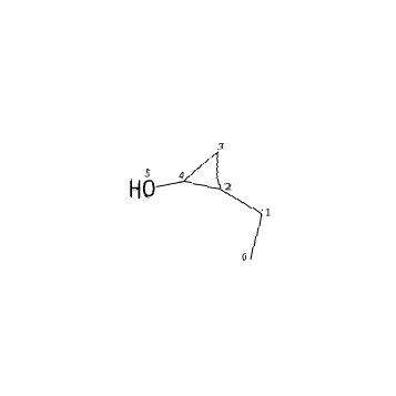 C[CH]C1CC1O